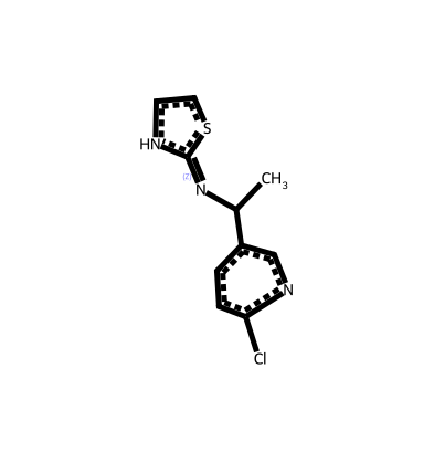 CC(/N=c1/[nH]ccs1)c1ccc(Cl)nc1